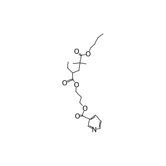 CCCCOC(=O)C(C)(C)CC(CC)C(=O)OCCCOC(=O)c1cccnc1